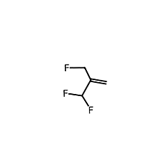 C=C(CF)C(F)F